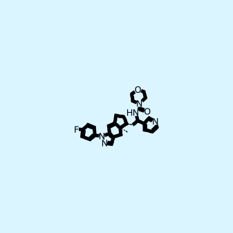 C[C@]12Cc3cnn(-c4ccc(F)cc4)c3C=C1CC[C@@H]2CC(NC(=O)N1CCOCC1)c1cccnc1